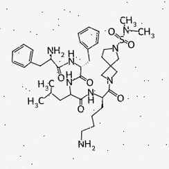 CC(C)CC(NC(=O)[C@@H](Cc1ccccc1)NC(=O)[C@H](N)Cc1ccccc1)C(=O)N[C@H](CCCCN)C(=O)N1CC2(CCN(S(=O)(=O)N(C)C)C2)C1